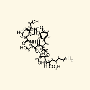 NCCCC[C@H](NC(=O)[C@H](CO)NC(=O)[C@H](Cc1ccc(O)cc1)NC(=O)[C@H](CO)NC(=O)[C@H](CO)NC(=O)[C@@H](N)CO)C(=O)O